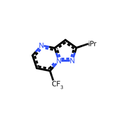 CC(C)c1cc2nccc(C(F)(F)F)n2n1